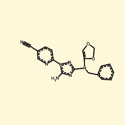 N#Cc1ccc(-n2nc(N(Cc3ccccc3)C3=COCO3)nc2N)nc1